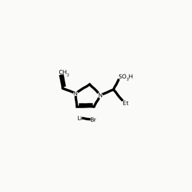 C=CN1C=CN(C(CC)S(=O)(=O)O)C1.[Li][Br]